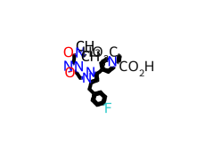 CN(C)C(=O)c1noc(Cn2nc(-c3ccncc3)cc2Cc2ccc(F)cc2)n1.O=C(O)C=CC(=O)O